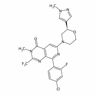 Cn1cc([C@@H]2CN(c3cc4c(=O)n(C)c(C(F)(F)F)nc4c(-c4ccc(Cl)cc4F)n3)CCO2)cn1